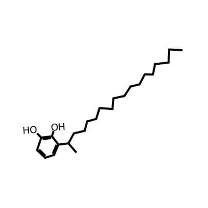 CCCCCCCCCCCCCCCCC(C)c1cccc(O)c1O